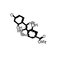 CCC/C(C1=CC=C(Cl)CC1O)=C(/NC(C)(C)C)c1ccc(C(=O)OC)cc1O